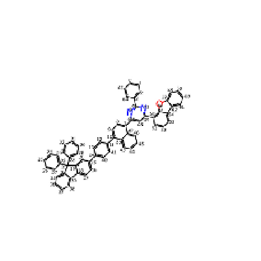 c1ccc(-c2nc(-c3ccc(-c4ccc(-c5ccc6c(c5)C(c5ccccc5)(c5ccccc5)c5ccccc5-6)cc4)c4ccccc34)cc(-c3cccc4c3oc3ccccc34)n2)cc1